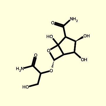 NC(=O)C(CO)O[C@@H]1OC2(O)C1C(O)[C@H](O)C2C(N)=O